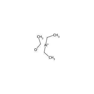 CC[O-].C[CH2][Al+][CH2]C